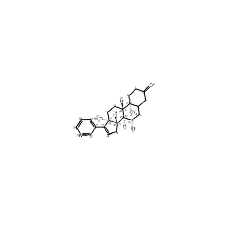 CC[C@H]1CC2CC(=O)CC[C@]2(C)[C@H]2CC[C@]3(C)C(c4cccnc4)=CC[C@H]3[C@H]12